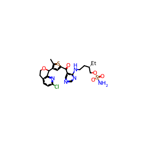 CC[C@@H](CCNc1ncncc1C(=O)c1cc(C2OCCc3ccc(Cl)nc32)c(C)s1)COS(N)(=O)=O